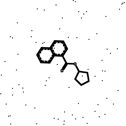 O=C(OC1CCCC1)c1cccc2ccccc12